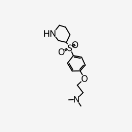 CN(C)CCOc1ccc(S(=O)(=O)C2CCCNC2)cc1